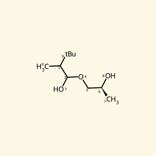 CC(C(O)OC[C@H](C)O)C(C)(C)C